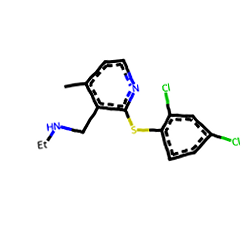 CCNCc1c(C)ccnc1Sc1ccc(Cl)cc1Cl